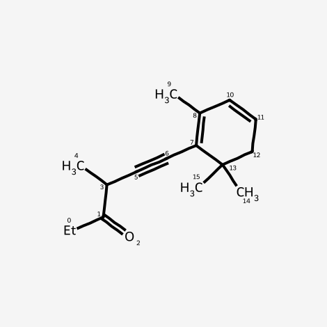 CCC(=O)C(C)C#CC1=C(C)C=CCC1(C)C